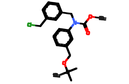 CC(C)(C)OC(=O)N(Cc1cccc(CCl)c1)c1cccc(CO[Si](C)(C)C(C)(C)C)c1